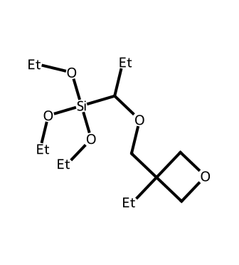 CCO[Si](OCC)(OCC)C(CC)OCC1(CC)COC1